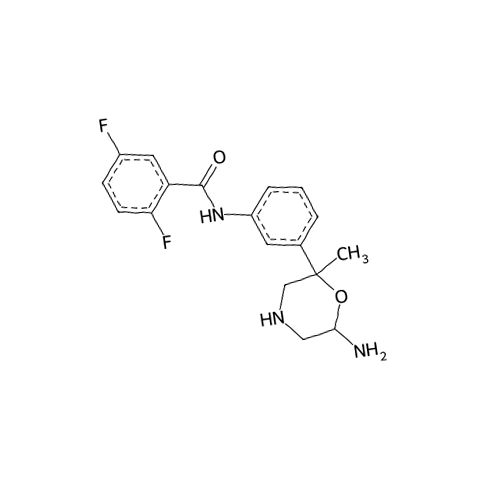 CC1(c2cccc(NC(=O)c3cc(F)ccc3F)c2)CNCC(N)O1